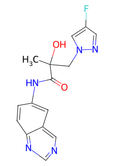 CC(O)(Cn1cc(F)cn1)C(=O)Nc1ccc2ncncc2c1